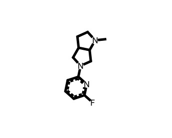 CN1CCC2CN(c3cccc(F)n3)CC21